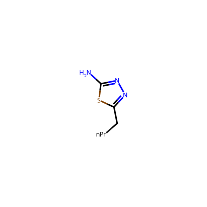 CCCCc1nnc(N)s1